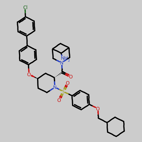 NC1C2CC1CN(C(=O)[C@H]1C[C@H](Oc3ccc(-c4ccc(Cl)cc4)cc3)CCN1S(=O)(=O)c1ccc(OCC3CCCCC3)cc1)C2